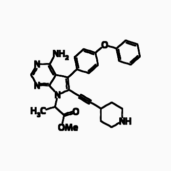 COC(=O)C(C)n1c(C#CC2CCNCC2)c(-c2ccc(Oc3ccccc3)cc2)c2c(N)ncnc21